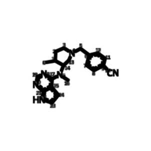 CC1CCN(Cc2ccc(C#N)cc2)CC1N(C)c1ncnc2[nH]ccc12